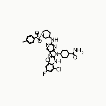 Cc1ccc(S(=O)(=O)N2CCCC(Nc3ncc4nc(Nc5c(Cl)cc(F)cc5Cl)n(C5CCC(C(N)=O)CC5)c4n3)C2)cc1